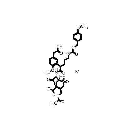 COc1ccc(COC(=O)NCCCC(C(=O)N[C@H]2C(=O)N3C(C(=O)[O-])=C(COC(C)=O)CS(=O)(=O)[C@@H]23)c2cc(CC(=O)O)ccc2OC)cc1.[K+]